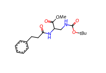 COC(=O)C(CNC(=O)OC(C)(C)C)NC(=O)CCc1ccccc1